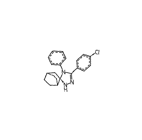 Clc1ccc(C2=NN[C@@]3(CC4CCC3CC4)N2c2ccccc2)cc1